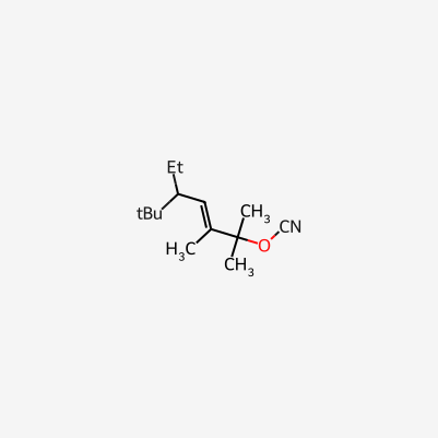 CCC(/C=C(\C)C(C)(C)OC#N)C(C)(C)C